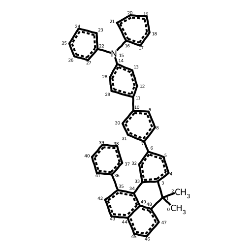 CC1(C)c2ccc(-c3ccc(-c4ccc(N(c5ccccc5)c5ccccc5)cc4)cc3)cc2-c2c(-c3ccccc3)ccc3cccc1c23